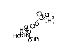 CC(C)CC(=O)N1CC(NS(=O)(=O)c2ccc(OCC3=CC(C)N(C)c4ccccc43)cc2)(C(=O)NO)C1